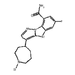 CCN1CCCC(c2cnn3c2[nH]c2cc(F)cc(C(N)=O)c23)CC1